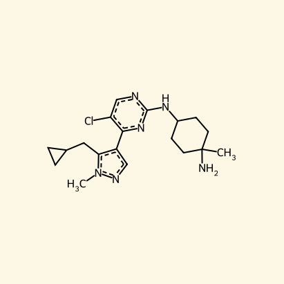 Cn1ncc(-c2nc(NC3CCC(C)(N)CC3)ncc2Cl)c1CC1CC1